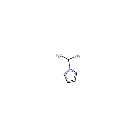 CCCC(n1cccc1)C(F)(F)F